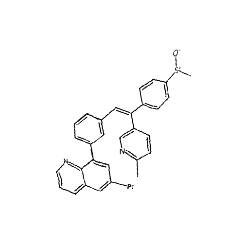 Cc1ccc(C(=Cc2cccc(-c3cc(C(C)C)cc4cccnc34)c2)c2ccc([S+](C)[O-])cc2)cn1